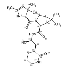 CC1(C)C2CN(C(=O)[C@H]3NC(C(F)(F)F)=CC3(C)C)[C@H](C(=O)N[C@H](C#N)C[C@@H]3CCCNC3=O)C21